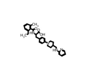 CCc1cccc(C)c1C(=O)NC(Cc1ccc(N2CCC(CNc3ccccn3)CC2)cc1)C(=O)O